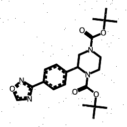 CC(C)(C)OC(=O)N1CCN(C(=O)OC(C)(C)C)C(c2ccc(-c3ncon3)cc2)C1